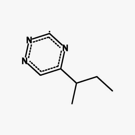 CCC(C)c1cnn[c]n1